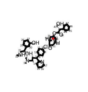 CN(C)CCC(c1ccc(Cl)cc1)c1ccccn1.CNC[C@H](O)c1cccc(O)c1.C[N+]1(C)[C@@H]2CC(OC(=O)[C@H](CO)c3ccccc3)C[C@H]1C1OC12